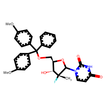 COc1ccc(C(OC[C@H]2OC(n3ccc(=O)[nH]c3=O)[C@](C)(F)[C@@H]2O)(c2ccccc2)c2ccc(OC)cc2)cc1